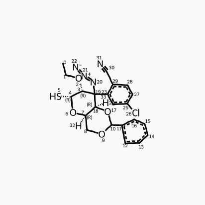 CCO[C@H]1[C@@H](S)O[C@@H]2COC(c3ccccc3)O[C@@H]2C1(N=[N+]=[N-])c1cc(Cl)ccc1C#N